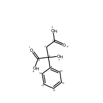 O=C(O)CC(O)(C(=O)O)c1ccccc1